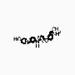 Cc1cc2cc(Oc3ccnc(Nc4cccc(CN5CCC(O)CC5)c4)n3)ccc2[nH]1